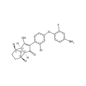 Bc1ccc(Oc2ccc(C3=C(O)[C@H]4[C@@H](C3=O)[C@@H]3CC[C@H]4O3)c(CC)c2)c(F)c1